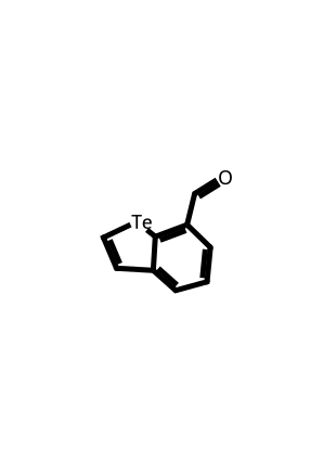 O=Cc1cccc2cc[te]c12